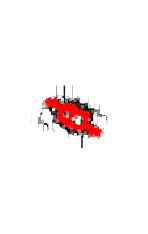 CCSC1SCC2C(=O)N(C)C3(CC3C)C(=O)OCC(NC(=O)c3nc4ccccc4cc3O)C(=O)NC(C)C(=O)N(C)C1C(=O)N(C)C1(CC1C)C(=O)OCC(NC(=O)c1nc3ccccc3cc1O)C(=O)NC(C)C(=O)N2C